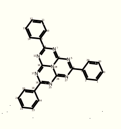 c1ccc(C2=NC3=NC(c4ccccc4)=NC4=NC(c5ccccc5)=NC(=N2)N34)cc1